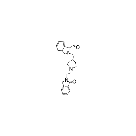 O=CC1c2ccccc2CN1CC1CCN(CCN2Cc3ccccc3C2=O)CC1